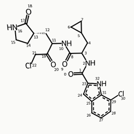 O=C(NC(CC1CC1)C(=O)NC(C[C@@H]1CCNC1=O)C(=O)CCl)c1cc2cccc(Cl)c2[nH]1